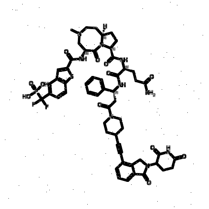 CN1CC[C@H]2CC[C@@H](C(=O)N[C@@H](CCC(N)=O)C(=O)N[C@H](CC(=O)N3CCC(C#Cc4cccc5c4CN(C4CCC(=O)NC4=O)C5=O)CC3)c3ccccc3)N2C(=O)[C@@H](NC(=O)c2cc3cc(C(F)(F)P(=O)(O)O)ccc3s2)C1